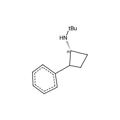 CC(C)(C)N[C@@H]1CCC1c1ccccc1